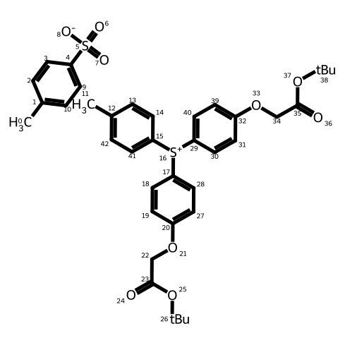 Cc1ccc(S(=O)(=O)[O-])cc1.Cc1ccc([S+](c2ccc(OCC(=O)OC(C)(C)C)cc2)c2ccc(OCC(=O)OC(C)(C)C)cc2)cc1